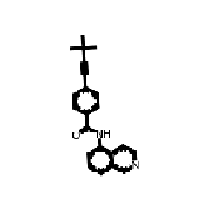 CC(C)(C)C#Cc1ccc(C(=O)Nc2cccc3cnccc23)cc1